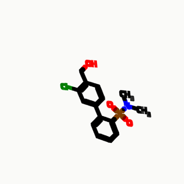 CN(C)S(=O)(=O)c1ccccc1-c1ccc(CO)c(Cl)c1